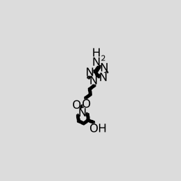 Nc1ncnc2c1ncn2CCCCOC(=O)N1CCCC(CO)C1